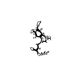 COC(=O)CCN1CNc2cc(Cl)c(Cl)cc21